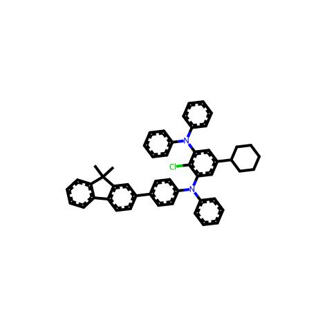 CC1(C)c2ccccc2-c2ccc(-c3ccc(N(c4ccccc4)c4cc(C5CCCCC5)cc(N(c5ccccc5)c5ccccc5)c4Cl)cc3)cc21